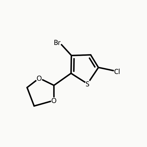 Clc1cc(Br)c(C2OCCO2)s1